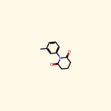 Cc1cccc(N2C(=O)CCCC2=O)c1